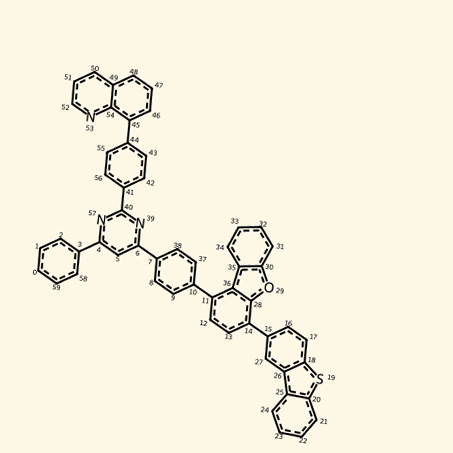 c1ccc(-c2cc(-c3ccc(-c4ccc(-c5ccc6sc7ccccc7c6c5)c5oc6ccccc6c45)cc3)nc(-c3ccc(-c4cccc5cccnc45)cc3)n2)cc1